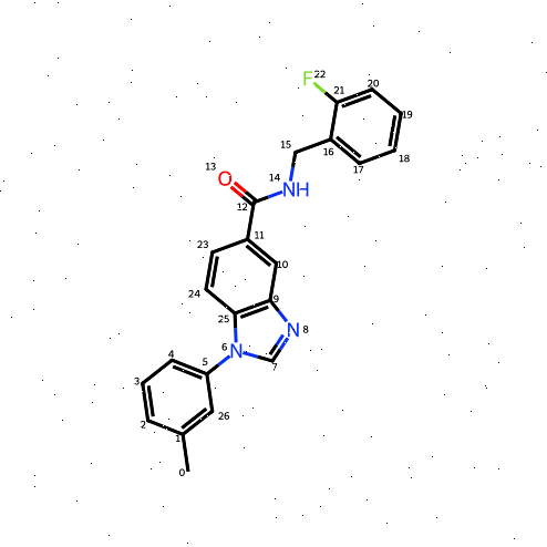 Cc1cccc(-n2cnc3cc(C(=O)NCc4ccccc4F)ccc32)c1